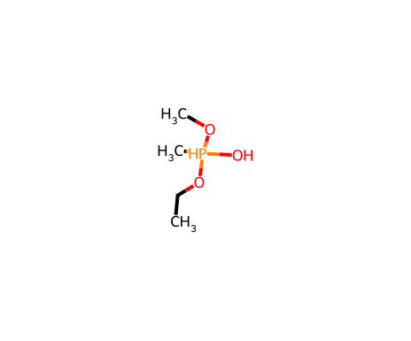 CCO[PH](C)(O)OC